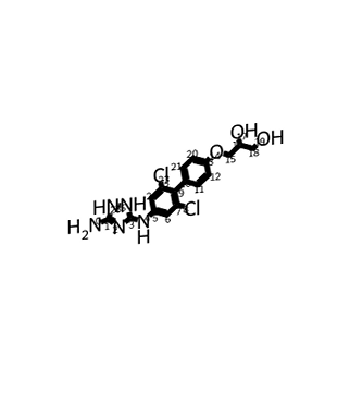 NC1=NC(Nc2cc(Cl)c(-c3ccc(OCC(O)CO)cc3)c(Cl)c2)NN1